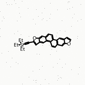 CC[Si](C#Cc1cc2cc3c(ccc4c5cc6ccoc6cc5ccc34)cc2o1)(CC)CC